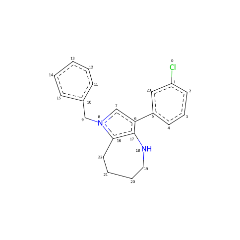 Clc1cccc(-c2cn(Cc3ccccc3)c3c2NCCCC3)c1